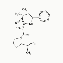 CC(C)C1CCCN1C(=O)c1cnn2c1NC(c1ccccc1)CC2(C)C